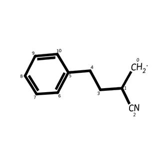 [CH2]C(C#N)CCc1ccccc1